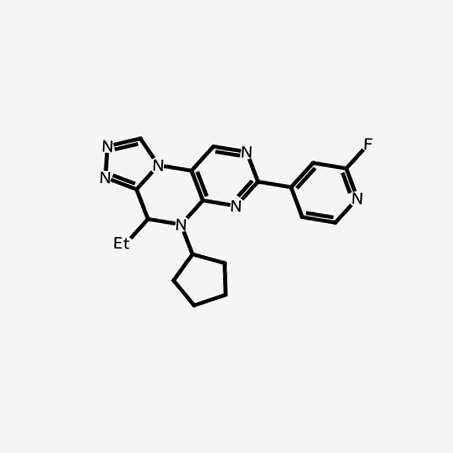 CCC1c2nncn2-c2cnc(-c3ccnc(F)c3)nc2N1C1CCCC1